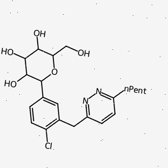 CCCCCc1ccc(Cc2cc(C3OC(CO)C(O)C(O)C3O)ccc2Cl)nn1